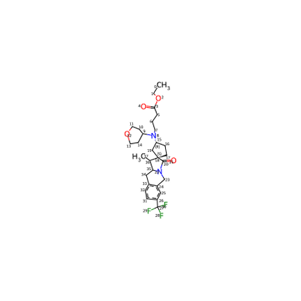 CCOC(=O)CCCN(C1CCOCC1)[C@@H]1CC[C@@]2(C1)C(=O)N1Cc3cc(C(F)(F)F)ccc3CC1C2C